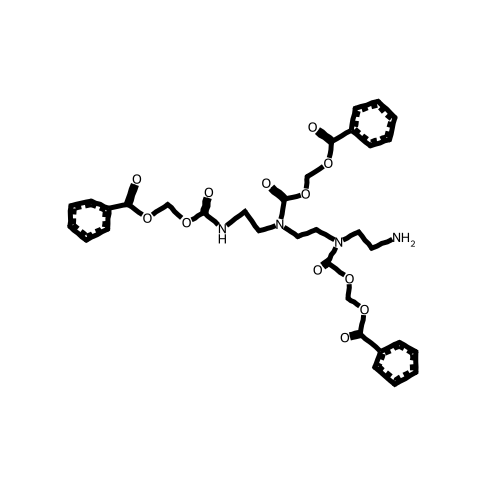 NCCN(CCN(CCNC(=O)OCOC(=O)c1ccccc1)C(=O)OCOC(=O)c1ccccc1)C(=O)OCOC(=O)c1ccccc1